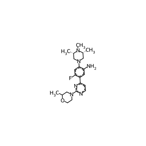 CC1CN(c2nccc(-c3cc(N)c(N4C[C@@H](C)N(C)[C@@H](C)C4)cc3F)n2)CCO1